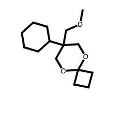 COCC1(C2CCCCC2)COC2(CCC2)OC1